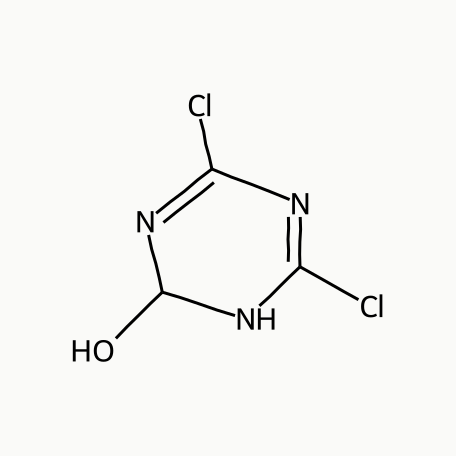 OC1N=C(Cl)N=C(Cl)N1